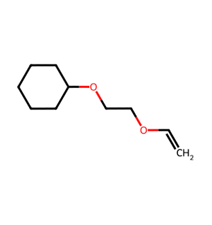 C=COCCOC1CCCCC1